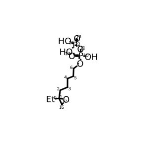 CCC1(CCCCCOP(=O)(O)OP(=O)(O)O)CO1